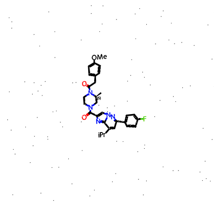 COc1ccc(CC(=O)N2CCN(C(=O)c3cn4nc(-c5ccc(F)cc5)cc(C(C)C)c4n3)C[C@@H]2C)cc1